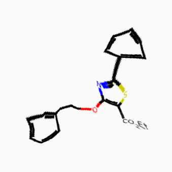 CCOC(=O)c1sc(-c2ccccc2)nc1OCc1ccccc1